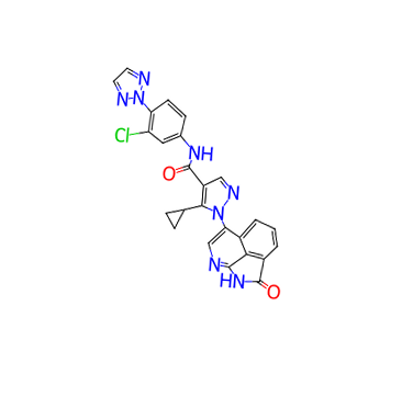 O=C(Nc1ccc(-n2nccn2)c(Cl)c1)c1cnn(-c2cnc3c4c(cccc24)C(=O)N3)c1C1CC1